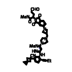 CCC#Cc1ccc(C2(C#N)CC3(CC3)C2)cc1NC(=N)/C=C(\NC)N1CCN(CC2CN(c3ccc4c(c3)C(=O)N(C(CCC=O)C(=O)NC)C4=O)C2)CC1